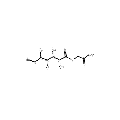 O=C(O)C(=O)COC(=O)[C@H](O)[C@@H](O)[C@H](O)[C@H](O)CO